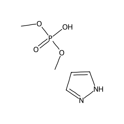 COP(=O)(O)OC.c1cn[nH]c1